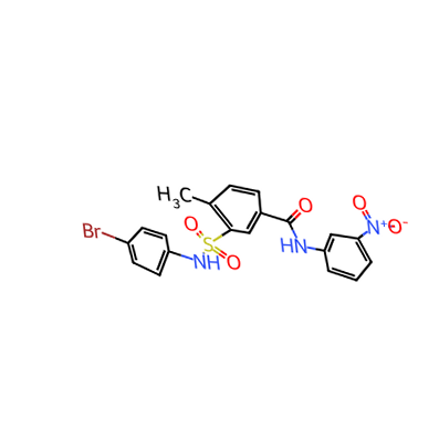 Cc1ccc(C(=O)Nc2cccc([N+](=O)[O-])c2)cc1S(=O)(=O)Nc1ccc(Br)cc1